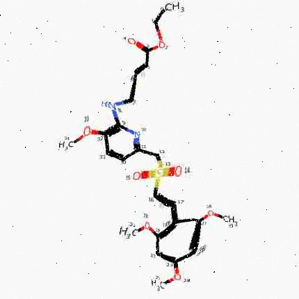 CCOC(=O)/C=C/CNc1nc(CS(=O)(=O)/C=C/c2c(OC)cc(OC)cc2OC)ccc1OC